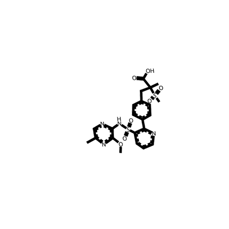 COc1nc(C)cnc1NS(=O)(=O)c1cccnc1-c1ccc(CC(C)(C(=O)O)S(C)(=O)=O)cc1